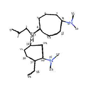 CCC[SiH](C1CCCC(N(C)C)CC1)C1CCC(CC)C(N(C)C)C1